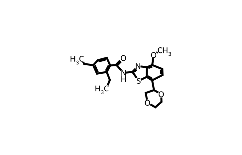 CCc1ccc(C(=O)Nc2nc3c(OC)ccc(C4COCCO4)c3s2)c(CC)c1